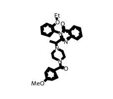 CCOc1ccccc1-n1c(C(C)N2CCN(C(=O)c3ccc(OC)cc3)CC2)nc2ccccc2c1=O